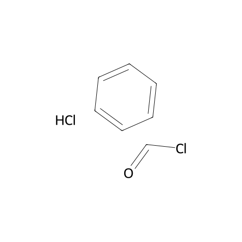 Cl.O=CCl.c1ccccc1